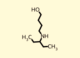 CCC(CC)NCCCCO